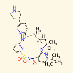 C[C@H]1CC(c2ccc(C3CCNCC3)cn2)Nc2cccc(n2)S(=O)(=O)NC(=O)c2ccc(C(C)(C)C)nc2N2C[C@@H]1CC2(C)C